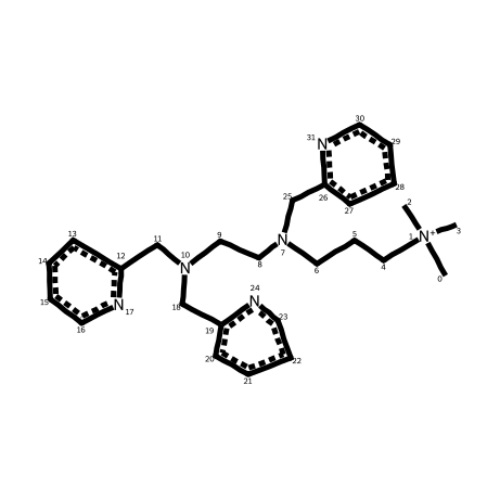 C[N+](C)(C)CCCN(CCN(Cc1ccccn1)Cc1ccccn1)Cc1ccccn1